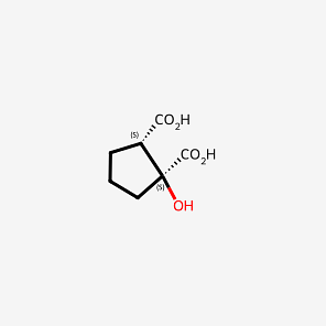 O=C(O)[C@H]1CCC[C@@]1(O)C(=O)O